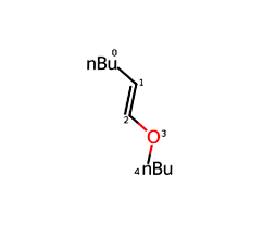 CCCCC=COCCCC